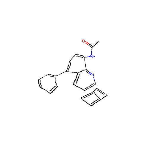 CC(=O)Nc1ccc(-c2ccccc2)c2cccnc12.c1cc2ccc1-2